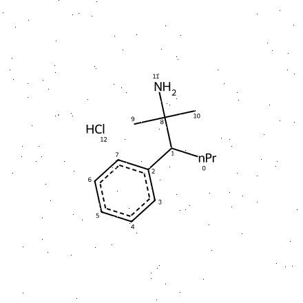 CCCC(c1ccccc1)C(C)(C)N.Cl